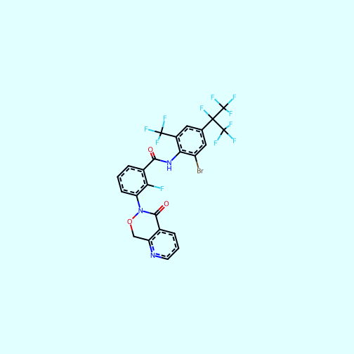 O=C(Nc1c(Br)cc(C(F)(C(F)(F)F)C(F)(F)F)cc1C(F)(F)F)c1cccc(N2OCc3ncccc3C2=O)c1F